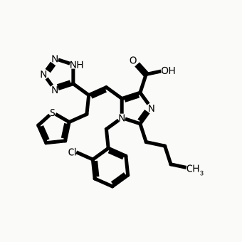 CCCCc1nc(C(=O)O)c(C=C(Cc2cccs2)c2nnn[nH]2)n1Cc1ccccc1Cl